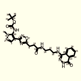 Cn1ncc(-c2noc(CCC(=O)NCCCNc3n[nH]c(=O)c4ccccc34)n2)c1NC(=O)OC(C)(C)C